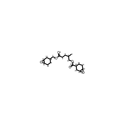 CC(CCC(=O)OCC1CCC2OC2C1)COC(=O)C1CCC2OC2C1